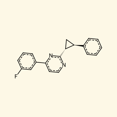 Fc1cccc(-c2ccnc([C@@H]3C[C@H]3c3ccccc3)n2)c1